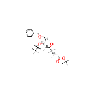 C[C@@H](COCc1ccccc1)[C@H](O[Si](C)(C)C(C)(C)C)[C@@H](C)C(=O)C(C)(C)[C@@H](C)CC(=O)OC(C)(C)C